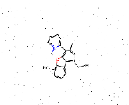 Cc1cc(CC(C)C)c2c(oc3c(C#N)cccc32)c1-c1cccc[n+]1C